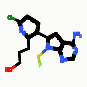 Nc1ncnc2c1cc(-c1ccc(Cl)nc1CCCO)n2SF